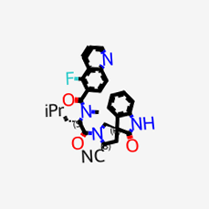 CC(C)C[C@@H](C(=O)N1C[C@]2(C[C@H]1C#N)C(=O)Nc1ccccc12)N(C)C(=O)c1ccc2ncc#cc2c1F